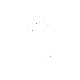 CC(F)(F)C(=O)OCC1C2CC3C1OC(=O)C3C2O